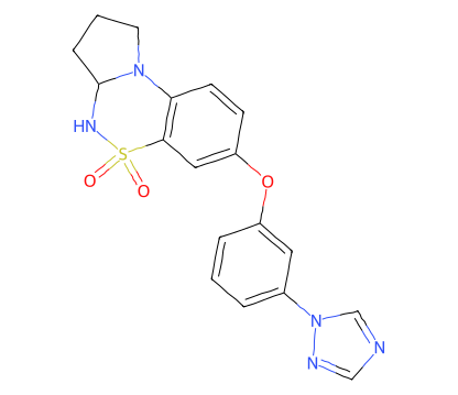 O=S1(=O)NC2CCCN2c2ccc(Oc3cccc(-n4cncn4)c3)cc21